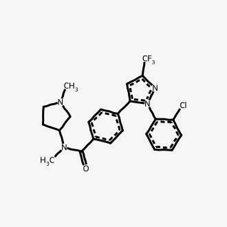 CN1CCC(N(C)C(=O)c2ccc(-c3cc(C(F)(F)F)nn3-c3ccccc3Cl)cc2)C1